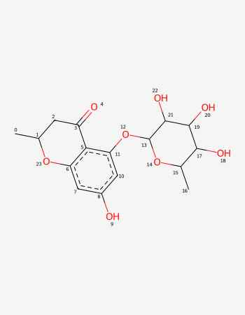 CC1CC(=O)c2c(cc(O)cc2OC2OC(C)C(O)C(O)C2O)O1